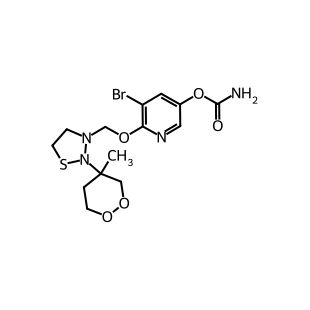 CC1(N2SCCN2COc2ncc(OC(N)=O)cc2Br)CCOOC1